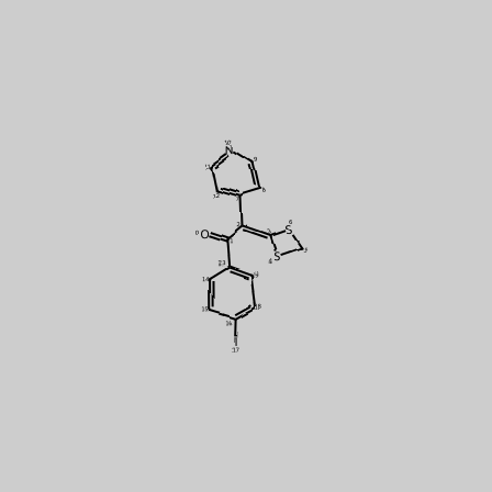 O=C(C(=C1SCS1)c1ccncc1)c1ccc(I)cc1